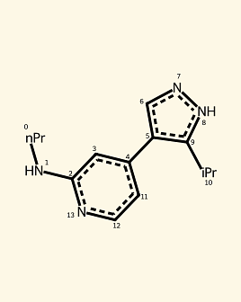 CCCNc1cc(-c2cn[nH]c2C(C)C)ccn1